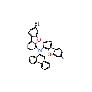 CCc1ccc2c(c1)oc1c(N(c3cc4ccccc4c4ccccc34)c3cccc4c3oc3cc(C)ccc34)cccc12